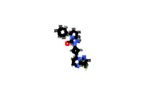 O=c1n(C2CC(c3ccnc4c(F)cnn34)C2)nc2n1[C@H](c1ccccc1)CC2